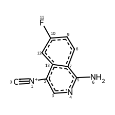 [C-]#[N+]c1cnc(N)c2ccc(F)cc12